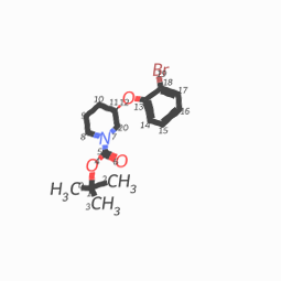 CC(C)(C)OC(=O)N1CCC[C@H](Oc2ccccc2Br)C1